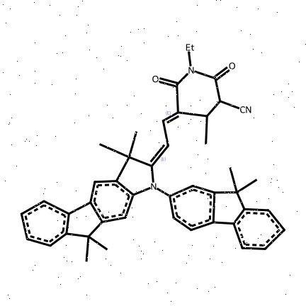 CCN1C(=O)/C(=C/C=C2/N(c3ccc4c(c3)C(C)(C)c3ccccc3-4)c3cc4c(cc3C2(C)C)-c2ccccc2C4(C)C)C(C)C(C#N)C1=O